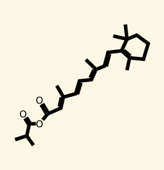 CC1=C(/C=C/C(C)=C/C=C/C(C)=C/C(=O)OC(=O)C(C)C)C(C)(C)CCC1